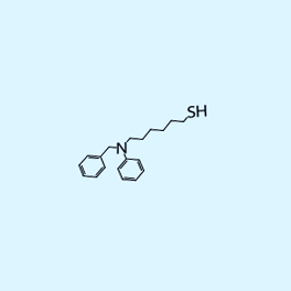 SCCCCCCN(Cc1ccccc1)c1ccccc1